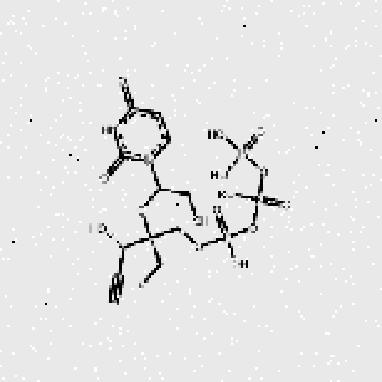 C#C[C@H](O)[C@@](CF)(COP(=O)(O)OP(=O)(O)OP(=O)(O)O)O[C@H](CO)n1ccc(=O)[nH]c1=O